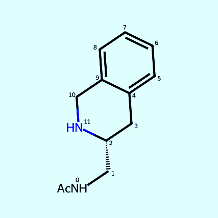 CC(=O)NC[C@H]1Cc2ccccc2CN1